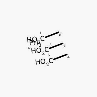 CC(=O)O.CC(=O)O.CC(=O)O.P